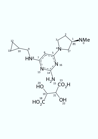 CN[C@@H]1CCN(c2cc(NCC3CC3)nc(N)n2)C1.O=C(O)C(O)C(O)C(=O)O